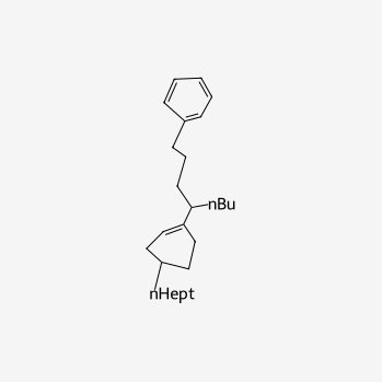 CCCCCCCC1CC=C(C(CCCC)CCCc2ccccc2)CC1